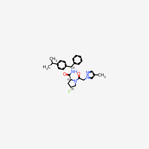 Cc1cnn(CC(=O)N2C[C@H](F)C[C@H]2C(=O)N[C@@H](c2ccccc2)c2ccc(C(C)C)cc2)c1